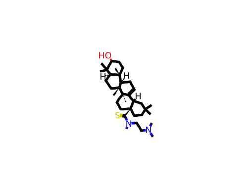 CN(C)CCN(C)C(=S)[C@]12CCC(C)(C)C[C@H]1C1=CC[C@@H]3[C@@]4(C)CC[C@H](O)C(C)(C)[C@@H]4CC[C@@]3(C)[C@]1(C)CC2